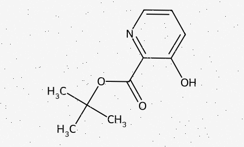 CC(C)(C)OC(=O)c1ncccc1O